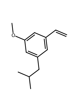 C=Cc1cc(CC(C)C)cc(OC)c1